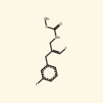 CC(C)(C)OC(=O)NCC(=CF)Cc1cccc(F)c1